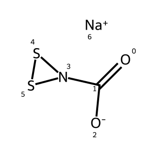 O=C([O-])n1ss1.[Na+]